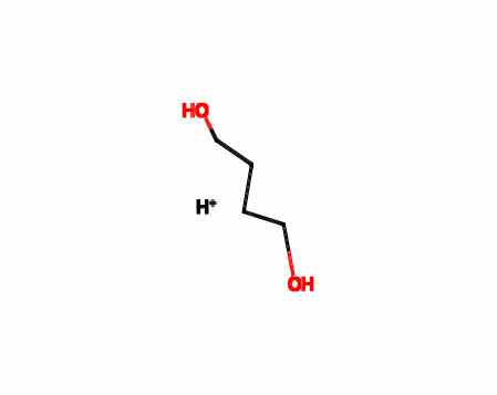 OCCCCO.[H+]